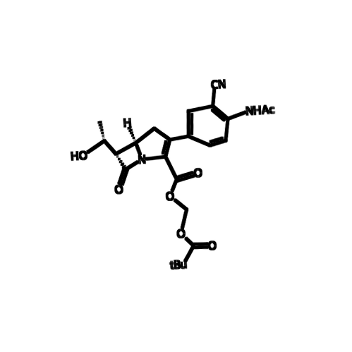 CC(=O)Nc1ccc(C2=C(C(=O)OCOC(=O)C(C)(C)C)N3C(=O)[C@H]([C@@H](C)O)[C@H]3C2)cc1C#N